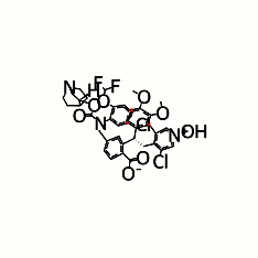 COc1ccc([C@H](Cc2c(Cl)c[n+](O)cc2Cl)c2cc(CN(C(=O)O[C@H]3CN4CCC3CC4)c3ccccc3OC(F)F)ccc2C(=O)[O-])cc1OC